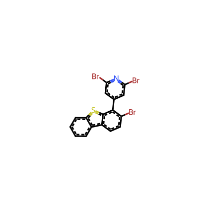 Brc1cc(-c2c(Br)ccc3c2sc2ccccc23)cc(Br)n1